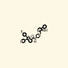 O=C(NC1CCN(Cc2nccc3c2[nH]c2ccccc23)CC1)c1cccc2c(-c3ccncc3)c(-c3ccc(F)cc3)nn12